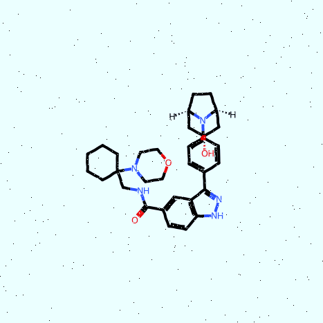 O=C(NCC1(N2CCOCC2)CCCCC1)c1ccc2[nH]nc(-c3ccc(N4[C@@H]5CC[C@H]4C[C@H](O)C5)cc3)c2c1